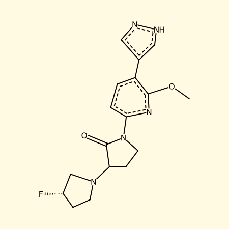 COc1nc(N2CCC(N3CC[C@H](F)C3)C2=O)ccc1-c1cn[nH]c1